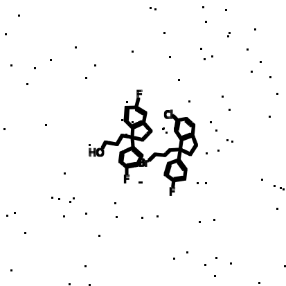 Fc1ccc(C2(CCCBr)CCc3ccc(Cl)cc32)cc1.OCCCC1(c2ccc(F)cc2)CCc2cc(F)ccc21